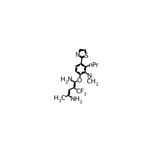 C=Nc1c(O/C(N)=C(/C=C(/C)N)C(F)(F)F)ccc(-c2nccs2)c1CCC